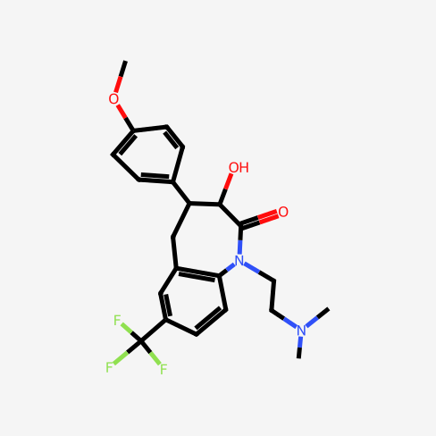 COc1ccc(C2Cc3cc(C(F)(F)F)ccc3N(CCN(C)C)C(=O)C2O)cc1